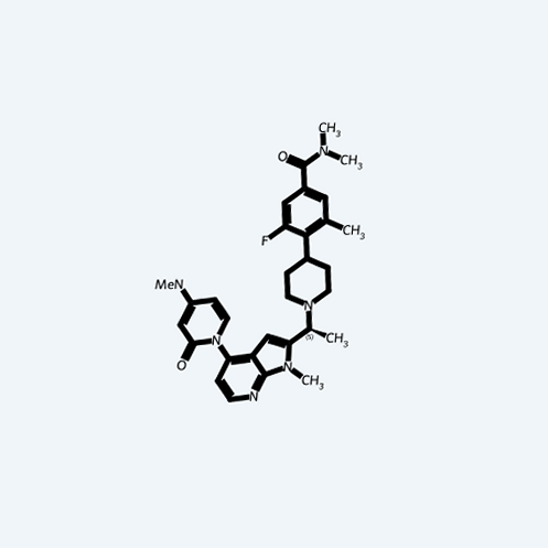 CNc1ccn(-c2ccnc3c2cc([C@H](C)N2CCC(c4c(C)cc(C(=O)N(C)C)cc4F)CC2)n3C)c(=O)c1